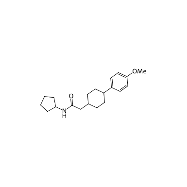 COc1ccc(C2CCC(CC(=O)NC3CCCC3)CC2)cc1